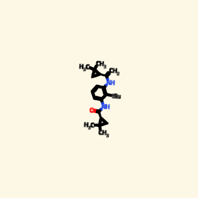 C=C(Nc1cccc(NC(=O)[C@H]2CC2(C)C)c1C(C)(C)C)[C@H]1CC1(C)C